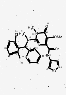 COc1c(C(=O)Nc2cnoc2)nc(N(C)C(c2ccccn2)c2c(Cl)cccc2Cl)n(C)c1=O